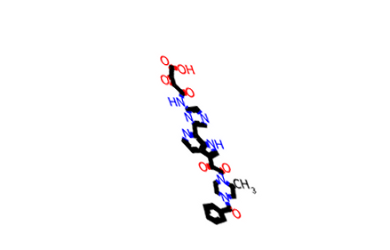 CC1CN(C(=O)c2ccccc2)CCN1C(=O)C(=O)c1c[nH]c2c(-c3cncc(NC(=O)C4OC4C(=O)O)n3)nccc12